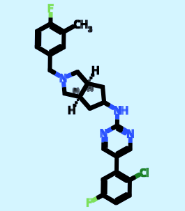 Cc1cc(CN2C[C@H]3CC(Nc4ncc(-c5cc(F)ccc5Cl)cn4)C[C@H]3C2)ccc1F